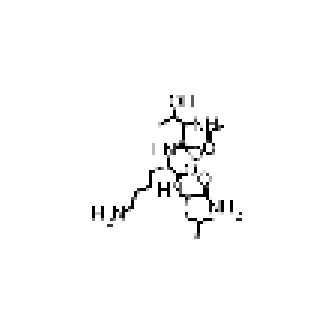 CC(=O)NC(C(=O)N[C@H](CCCCN)C(=O)N[C@@H](CC(C)C)C(N)=O)C(C)O